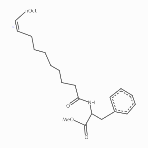 CCCCCCCC/C=C\CCCCCCCC(=O)NC(Cc1ccccc1)C(=O)OC